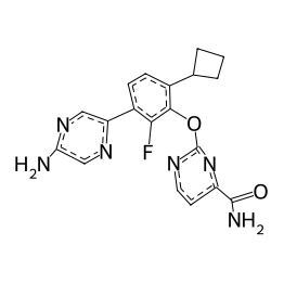 NC(=O)c1ccnc(Oc2c(C3CCC3)ccc(-c3cnc(N)cn3)c2F)n1